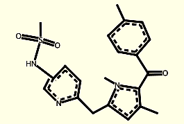 Cc1ccc(C(=O)c2c(C)cc(Cc3ccc(NS(C)(=O)=O)cn3)n2C)cc1